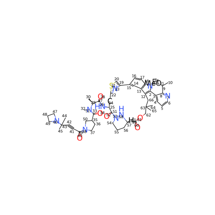 CCn1c(-c2cccnc2[C@H](C)OC)c2c3cc(ccc31)-c1csc(n1)C[C@H](NC(=O)[C@H](C)N(C)C(=O)C1CCN(C(=O)C#CC(C)(C)N3CCC3)C1)C(=O)N1CCC[C@H](N1)C(=O)OCC(C)(C)C2